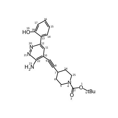 CC(C)(C)OC(=O)N1CCC(C#Cc2cc(-c3ccccc3O)nnc2N)CC1